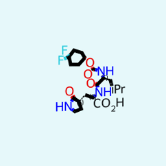 CC(C)C[C@H](NC(=O)OC1CCC(F)(F)CC1)C(=O)N[C@@H](C[C@@H]1CCNC1=O)C(=O)O